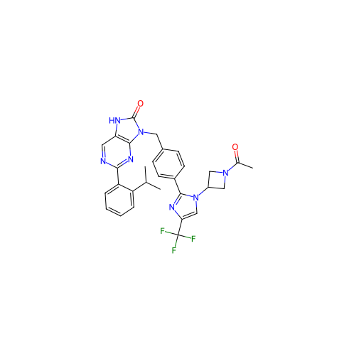 CC(=O)N1CC(n2cc(C(F)(F)F)nc2-c2ccc(Cn3c(=O)[nH]c4cnc(-c5ccccc5C(C)C)nc43)cc2)C1